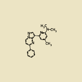 Cc1cc(-c2cnn3ccc(-c4ccccc4)nc23)nc(N(C)C)c1